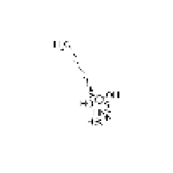 CCCCCCCCCCCCSc1cc(O)c(Sc2cnc(SS)[nH]2)cc1O